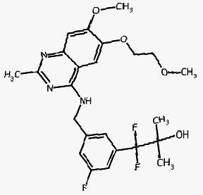 COCCOc1cc2c(NCc3cc(F)cc(C(F)(F)C(C)(C)O)c3)nc(C)nc2cc1OC